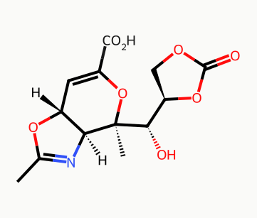 CC1=N[C@H]2[C@@H](C=C(C(=O)O)O[C@@]2(C)[C@@H](O)[C@H]2COC(=O)O2)O1